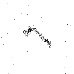 O=C1CCC(N2Cc3cc(OCCOCCOc4ccc5nc(-c6ccc(-c7ccc(NC8CC8)nc7)nc6)sc5c4)ccc3C2=O)C(=O)N1